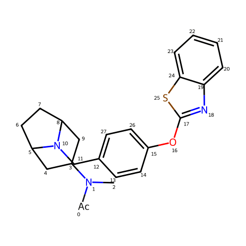 CC(=O)N(C)C1CC2CCC(C1)N2Cc1ccc(Oc2nc3ccccc3s2)cc1